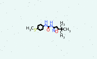 CSc1ccc(NC(=O)Nc2cc(C(C)(C)C)on2)cc1